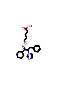 O=C(O)CCCCON=C(C1CCCCC1)C(Cc1ccccc1)n1ccnc1